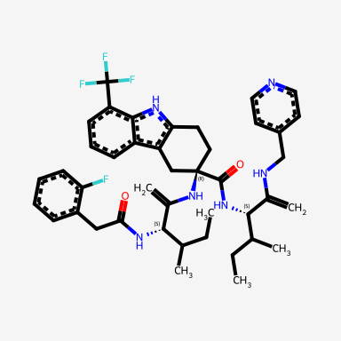 C=C(N[C@]1(C(=O)N[C@H](C(=C)NCc2ccncc2)C(C)CC)CCc2[nH]c3c(C(F)(F)F)cccc3c2C1)[C@@H](NC(=O)Cc1ccccc1F)C(C)CC